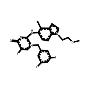 COCCn1ccc2c(C)c(Nc3nc(=O)c(F)cn3Cc3cc(F)cc(F)c3)ccc21